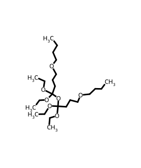 CCCCOCCCC(OCC)(OCC)OC(CCCOCCCC)(OCC)OCC